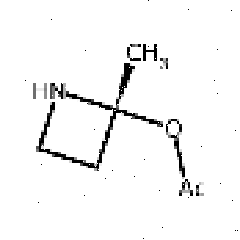 CC(=O)O[C@]1(C)CCN1